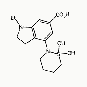 CCN1CCc2c1cc(C(=O)O)cc2N1CCCCS1(O)O